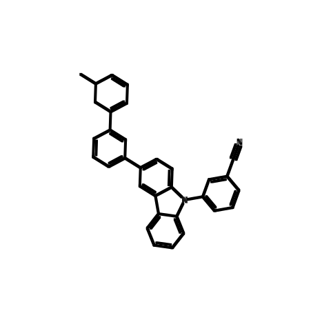 CC1C=CC=C(c2cccc(-c3ccc4c(c3)c3ccccc3n4-c3cccc(C#N)c3)c2)C1